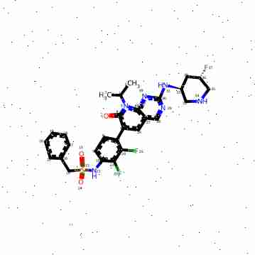 CC(C)n1c(=O)c(-c2ccc(NS(=O)(=O)Cc3ccccc3)c(F)c2F)cc2cnc(N[C@@H]3CNC[C@@H](F)C3)nc21